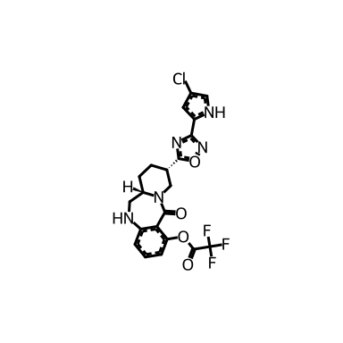 O=C1c2c(cccc2OC(=O)C(F)(F)F)NC[C@@H]2CC[C@H](c3nc(-c4cc(Cl)c[nH]4)no3)CN12